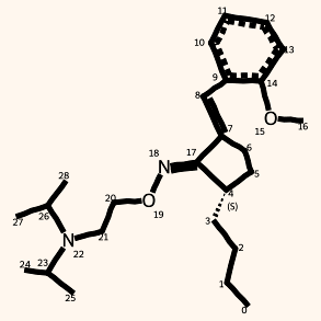 CCCC[C@H]1CCC(=Cc2ccccc2OC)C1=NOCCN(C(C)C)C(C)C